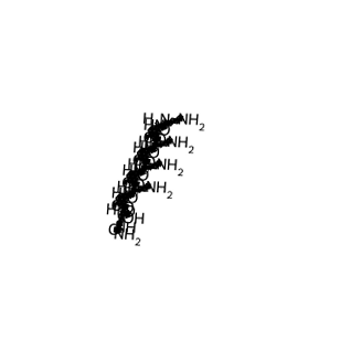 COc1ccc(NC(=O)[C@H](CCCCN)NC(=O)c2cc(NC(=O)[C@H](CCCCN)NC(=O)c3cc(NC(=O)[C@H](CCCCN)NC(=O)c4cc(NC(=O)[C@@H](N)CCCCN)ccc4OC)ccc3OC)ccc2OC)cc1C(=O)NC(CCCNC(N)=O)C(=O)O